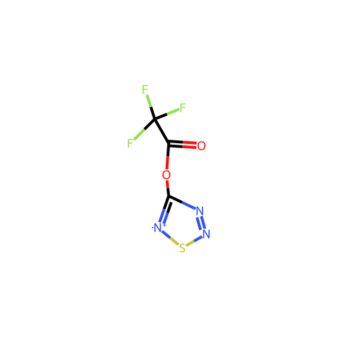 O=C(OC1=[N+]SN=N1)C(F)(F)F